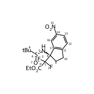 CCOC(=O)C(F)(F)[C@@]1(N[S+]([O-])C(C)(C)C)CCc2ccc([N+](=O)[O-])cc21